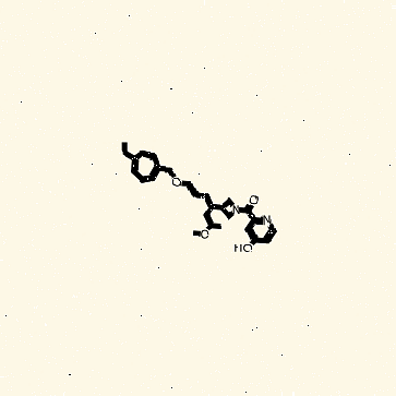 CCC1=CCC=C(CO/C=C/C=C(\C=C(/C)OC)C2CN(C(=O)c3cc(O)ccn3)C2)C=C1